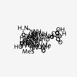 CNC(=O)[C@H](Cc1c[nH]c2ccccc12)NC(=O)[C@H](CCSC)NC(=O)[C@@H](NC(=O)[C@@H](NC(=O)[C@H](Cc1ccc(O)cc1)NC(=O)[C@H](Cc1ccccc1)NC(=O)[C@H](CCCNC(=N)N)NC(=O)[C@H](CCCCN)NC(=O)CCNC(=O)CCNC(=O)c1ccc(-c2c3ccc(=O)cc-3oc3cc(O)ccc23)c(C(=O)O)c1)C(C)C)C(C)C